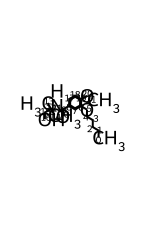 CCCCCOc1cc(C(=O)NC(C)(C)CO)ccc1OC